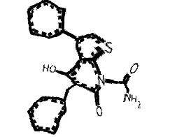 NC(=O)n1c(=O)c(-c2ccccc2)c(O)c2c(-c3ccccc3)csc21